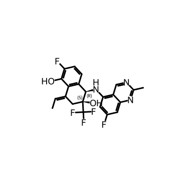 CC=C1C[C@@](O)(C(F)(F)F)[C@H](Nc2cc(F)cc3nc(C)ncc23)c2ccc(F)c(O)c21